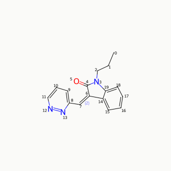 CCCN1C(=O)/C(=C\c2cccnn2)c2ccccc21